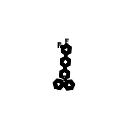 Fc1ccc(C2CCC(C3CC[Si](c4ccccc4)(c4ccccc4)CC3)CC2)cc1F